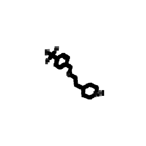 FC(F)(F)c1ccc(COCCC2CCNCC2)cc1